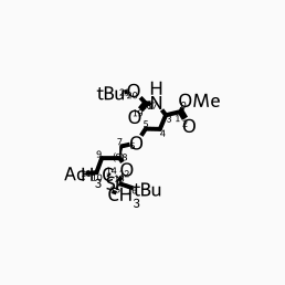 COC(=O)C(CCOC[C@H](CCC(C)=O)O[Si](C)(C)C(C)(C)C)NC(=O)OC(C)(C)C